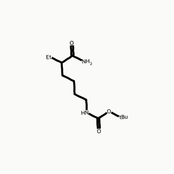 CCC(CCCCNC(=O)OC(C)(C)C)C(N)=O